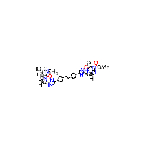 COC(=O)N[C@H](C(=O)N1[C@@H]2C[C@@H]2C[C@H]1c1nc(-c2ccc(C=Cc3ccc(-c4c[nH]c([C@@H]5C[C@H]6C[C@H]6N5C(=O)[C@H](C(C)C)N(C)C(=O)O)n4)cc3)cc2)c[nH]1)C(C)C